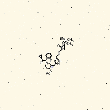 CC(=O)SC1CCN(C(C(=O)C2CC2)c2ccccc2F)C/C1=C\c1cn(CCCCC(=O)NO[Si](C)(C)C(C)(C)C)nn1